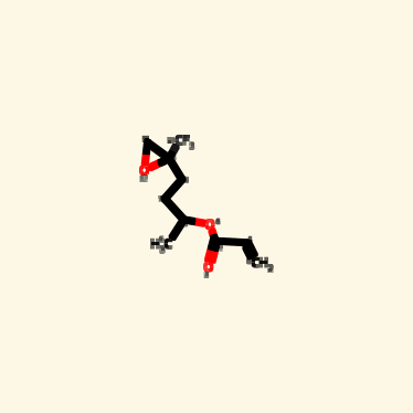 C=CC(=O)OC(C)CCC1(C(F)(F)F)CO1